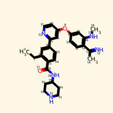 CCc1cc(-c2cc(Oc3ccc(C(C)=N)c(NC)c3)ccn2)ccc1C(=O)NC1CCNCC1